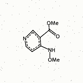 CONc1ccncc1C(=O)OC